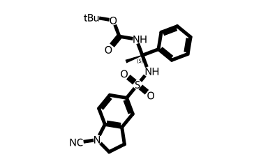 CC(C)(C)OC(=O)N[C@@](C)(NS(=O)(=O)c1ccc2c(c1)CCN2C#N)c1ccccc1